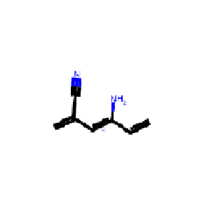 C=C/C(N)=C/C(=C)C#N